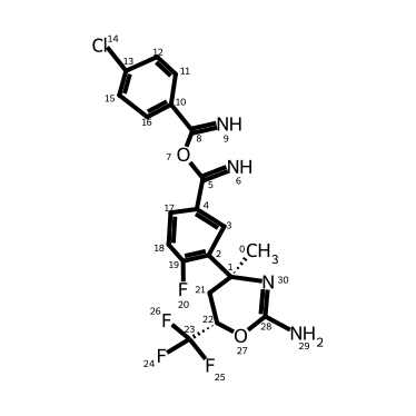 C[C@@]1(c2cc(C(=N)OC(=N)c3ccc(Cl)cc3)ccc2F)C[C@@H](C(F)(F)F)OC(N)=N1